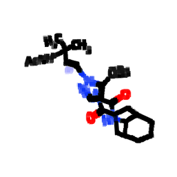 CC(=O)NC(C)(C)/C=C/n1ncc(C(=O)NC2C3CCCC2CC(C(N)=O)C3)c1OCC(C)C